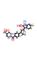 CC1(C)O/C(=C2\c3ccc(F)cc3NC2O)C=C1c1ccc(C(=O)N2CCC(CO)CC2)cc1